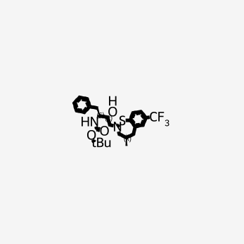 C[C@@H]1Cc2cc(C(F)(F)F)ccc2SN(C[C@@H](O)[C@H](Cc2ccccc2)NC(=O)OC(C)(C)C)C1